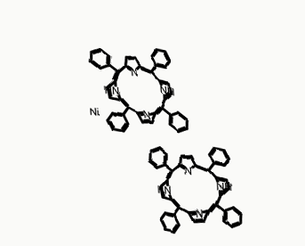 C1=Cc2nc1c(-c1ccccc1)c1ccc([nH]1)c(-c1ccccc1)c1nc(c(-c3ccccc3)c3ccc([nH]3)c2-c2ccccc2)C=C1.C1=Cc2nc1c(-c1ccccc1)c1ccc([nH]1)c(-c1ccccc1)c1nc(c(-c3ccccc3)c3ccc([nH]3)c2-c2ccccc2)C=C1.[Ni]